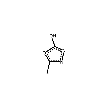 [CH2]c1nnc(O)o1